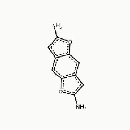 Nc1cc2cc3oc(N)cc3cc2o1